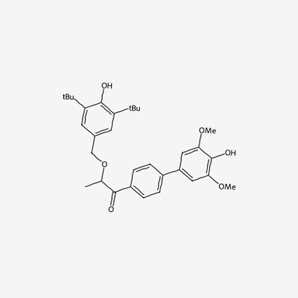 COc1cc(-c2ccc(C(=O)C(C)OCc3cc(C(C)(C)C)c(O)c(C(C)(C)C)c3)cc2)cc(OC)c1O